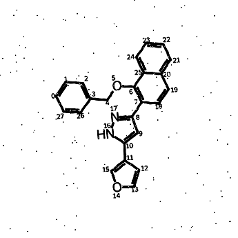 c1ccc(COc2c(-c3cc(-c4ccoc4)[nH]n3)ccc3ccccc23)cc1